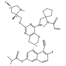 C#Cc1c(F)ccc2cc(OC(=O)C(C)C)cc([C@H]3COc4c(nc(OC[C@]5(C)C[C@@H](F)CN5C)nc4NCC4(N(C)C(=O)C=C)CCCC4)C3)c12